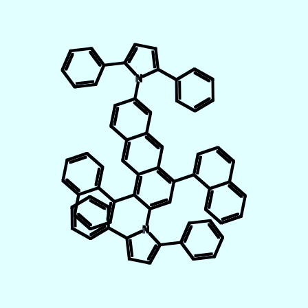 c1ccc(-c2ccc(-c3ccccc3)n2-c2ccc3cc4c(-c5cccc6ccccc56)c(-n5c(-c6ccccc6)ccc5-c5ccccc5)cc(-c5cccc6ccccc56)c4cc3c2)cc1